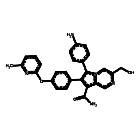 Cc1cccc(Oc2ccc(-c3c(C(N)=O)c4cnc(CO)cn4c3-c3ccc(N)cc3)cc2)n1